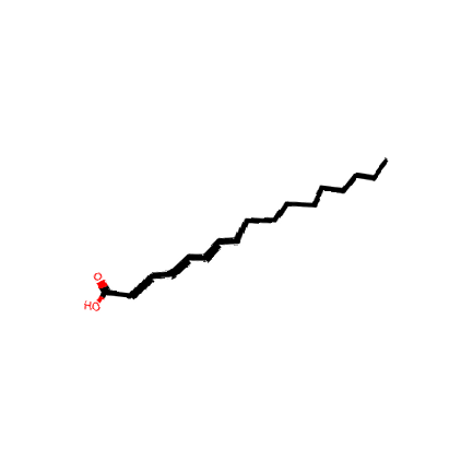 CCCCCCCCCCC=CC=CC=CC(=O)O